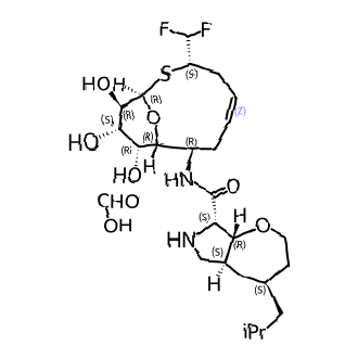 CC(C)C[C@@H]1CCO[C@@H]2[C@H](CN[C@@H]2C(=O)N[C@@H]2C/C=C\C[C@@H](C(F)F)S[C@H]3O[C@H]2[C@H](O)[C@H](O)[C@H]3O)C1.O=CO